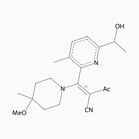 COC1(C)CCN(/C(=C(\C#N)C(C)=O)c2nc(C(C)O)ccc2C)CC1